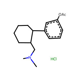 CC(=O)Oc1cccc(C2CCCCC2CN(C)C)c1.Cl